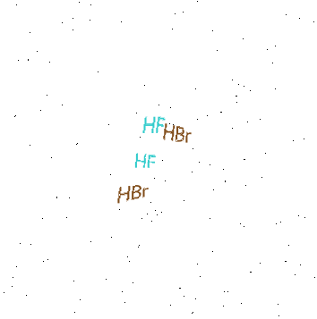 Br.Br.F.F